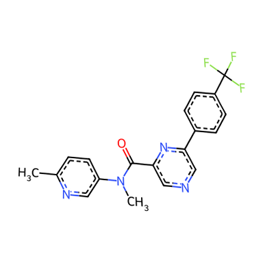 Cc1ccc(N(C)C(=O)c2cncc(-c3ccc(C(F)(F)F)cc3)n2)cn1